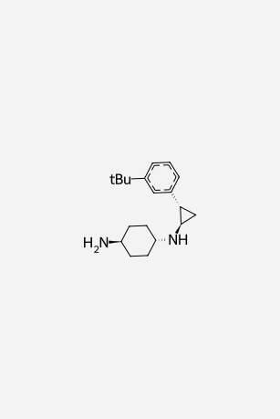 CC(C)(C)c1cccc([C@@H]2C[C@H]2N[C@H]2CC[C@H](N)CC2)c1